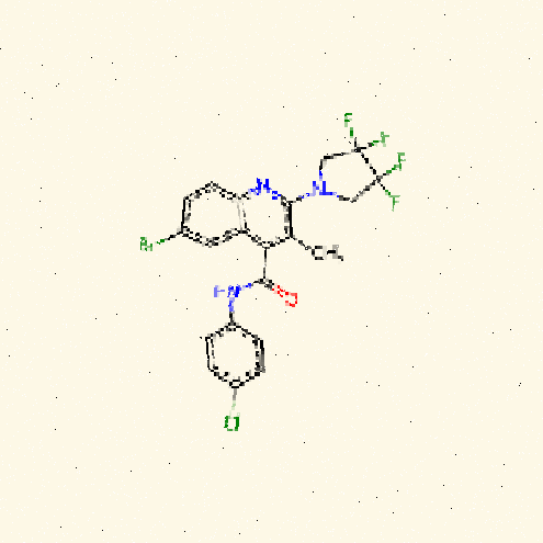 Cc1c(N2CC(F)(F)C(F)(F)C2)nc2ccc(Br)cc2c1C(=O)Nc1[c]cc(Cl)cc1